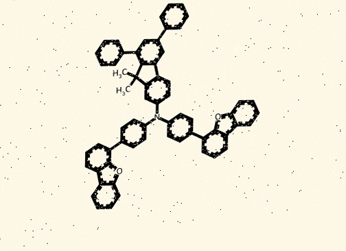 CC1(C)c2cc(N(c3ccc(-c4cccc5c4oc4ccccc45)cc3)c3ccc(-c4cccc5c4oc4ccccc45)cc3)ccc2-c2cc(-c3ccccc3)cc(-c3ccccc3)c21